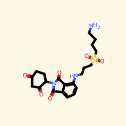 NCCCCS(=O)(=O)CCCNc1cccc2c1C(=O)N(C1CCC(=O)CC1=O)C2=O